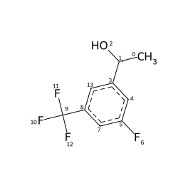 C[C](O)c1cc(F)cc(C(F)(F)F)c1